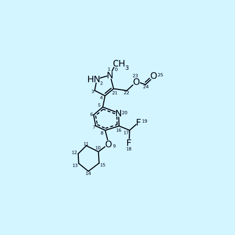 CN1NCC(c2ccc(OC3CCCCC3)c(C(F)F)n2)=C1COC=O